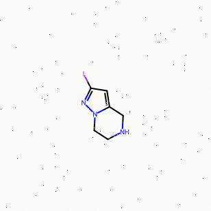 Ic1cc2n(n1)CCNC2